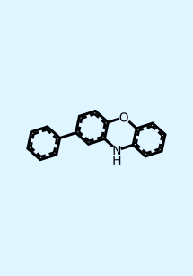 c1ccc(-c2ccc3c(c2)Nc2ccccc2O3)cc1